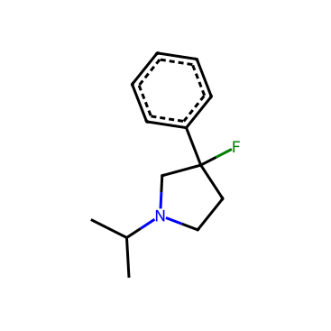 CC(C)N1CCC(F)(c2ccccc2)C1